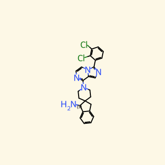 N[C@@H]1c2ccccc2CC12CCN(c1nccn3c(-c4cccc(Cl)c4Cl)ncc13)CC2